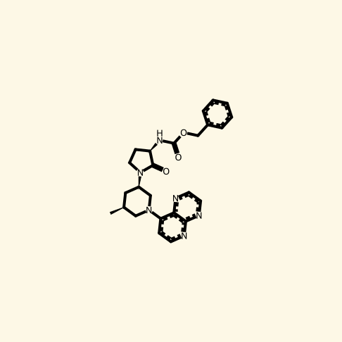 C[C@H]1C[C@@H](N2CC[C@@H](NC(=O)OCc3ccccc3)C2=O)CN(c2ccnc3nccnc23)C1